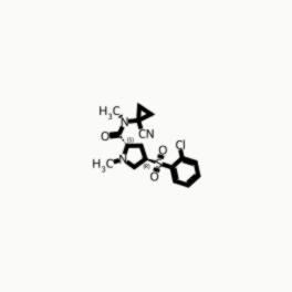 CN1C[C@H](S(=O)(=O)c2ccccc2Cl)C[C@H]1C(=O)N(C)C1(C#N)CC1